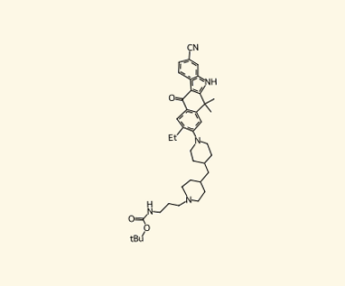 CCc1cc2c(cc1N1CCC(CC3CCN(CCCNC(=O)OC(C)(C)C)CC3)CC1)C(C)(C)c1[nH]c3cc(C#N)ccc3c1C2=O